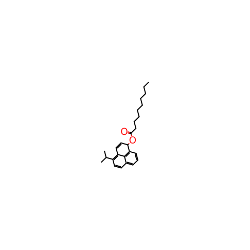 CCCCCCCCCC(=O)OC1C=Cc2c(C(C)C)ccc3cccc1c23